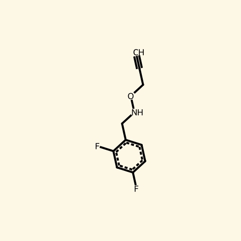 C#CCONCc1ccc(F)cc1F